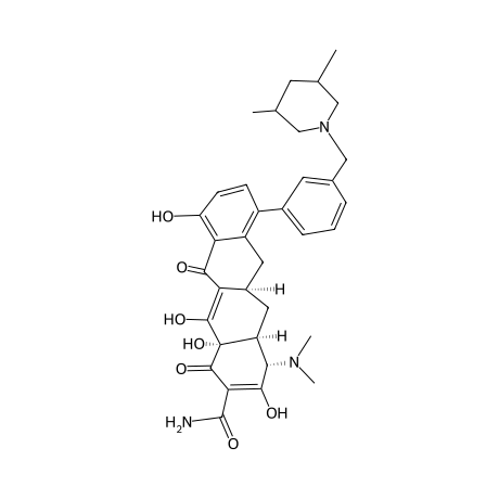 CC1CC(C)CN(Cc2cccc(-c3ccc(O)c4c3C[C@H]3C[C@H]5[C@H](N(C)C)C(O)=C(C(N)=O)C(=O)[C@@]5(O)C(O)=C3C4=O)c2)C1